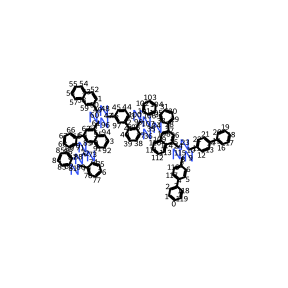 c1ccc(-c2ccc(-c3nc(-c4ccc(-c5ccccc5)cc4)nc(-c4cc5c6ccccc6n(-c6nc7cccc(-c8cccc(-c9nc(-c%10ccc%11ccccc%11c%10)nc(-c%10cc%11c%12ccccc%12n(-c%12nc%13ccccc%13c%13nc%14ccccc%14n%12%13)c%11c%11ccccc%10%11)n9)c8)c7c7nc8ccccc8n67)c5c5ccccc45)n3)cc2)cc1